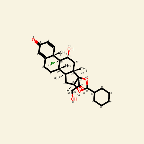 C[C@]12C=CC(=O)C=C1CC[C@H]1[C@@H]3C[C@@H]4OC(C5CCCCC5)O[C@@]4(C(=O)CO)[C@@]3(C)C[C@H](O)[C@@]12F